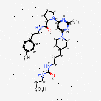 N#Cc1ccc(CCNC(=O)C2CCCN2c2cc(N3CCC(CCCNC(=O)NCCS(=O)(=O)O)CC3)nc(C(F)(F)F)n2)cc1